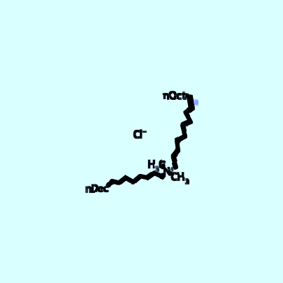 CCCCCCCC/C=C\CCCCCCCC[N+](C)(C)CCCCCCCCCCCCCCCCCC.[Cl-]